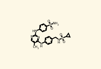 Cc1cnc(Nc2ccc(S(N)(=O)=O)cc2)nc1Nc1ccc(CNS(=O)(=O)C2CC2)cc1